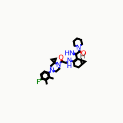 Cc1c(F)ccc(N2CCN(C(=O)CNC3=C(C(=N)C(=O)N4CCCCC4)[C@H]4CC4CC3)C3(CC3)C2)c1C